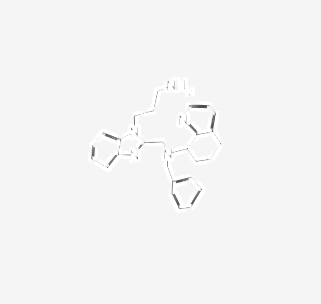 NCCCn1c(CN(Cc2ccccc2)C2CCCc3cccnc32)nc2ccccc21